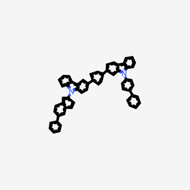 c1ccc(-c2ccc(-n3c4ccccc4c4ccc(-c5ccc(-c6ccc7c(c6)c6ccccc6n7-c6ccc7cc(-c8ccccc8)ccc7c6)cc5)cc43)cc2)cc1